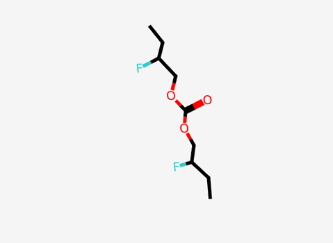 CCC(F)COC(=O)OCC(F)CC